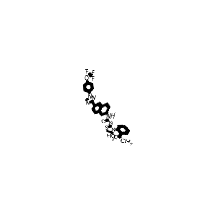 CC(C)c1ccccc1N1C(=O)CSC1=NC(=O)NC1CCc2cc(-c3ncn(-c4ccc(OC(F)(F)F)cc4)n3)ccc2C1